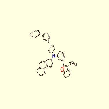 CC(C)(C)c1c(-c2cccc(N(c3ccc(-c4cccc(-c5ccccc5)c4)cc3)c3ccc4c(ccc5ccccc54)c3)c2)oc2ccccc12